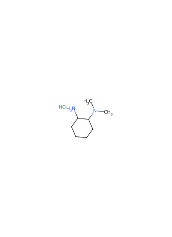 CN(C)C1CCCCC1N.Cl